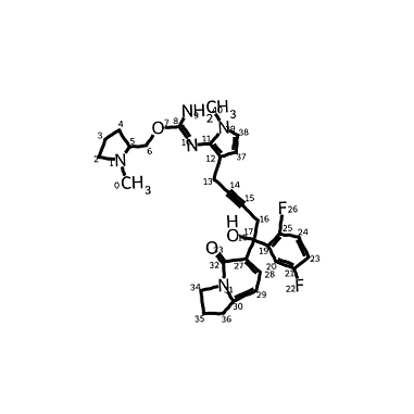 CN1CCCC1CO/C(N)=N/c1c(CC#CCC(O)(c2cc(F)ccc2F)c2ccc3n(c2=O)CCC3)ccn1C